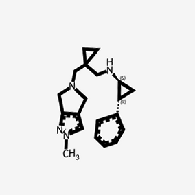 Cn1cc2c(n1)CN(CC1(CN[C@H]3C[C@@H]3c3ccccc3)CC1)C2